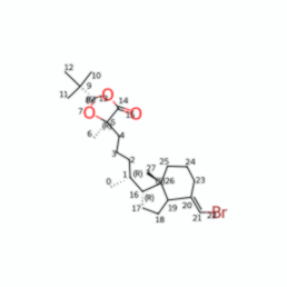 C[C@H](CCC[C@@]1(C)O[C@H](C(C)(C)C)OC1=O)[C@H]1CCC2C(=CBr)CCC[C@]21C